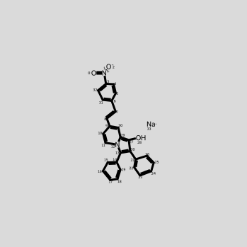 O=[N+]([O-])c1ccc(C=Cc2ccn3c(-c4ccccc4)c(-c4ccccc4)c(O)c3c2)cc1.[Na]